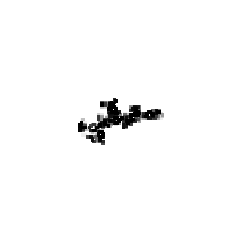 COc1nc2[nH]cc(F)c2cc1Oc1cc(N2CCC3(CC2)CC(N2CCN(C[C@H]4COCCO4)C[C@H]2c2ccccc2C(C)C)C3)ccc1C(=O)NS(=O)(=O)c1cnc(NCC2CCC(C)(O)CC2)c([N+](=O)[O-])c1